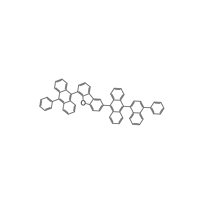 c1ccc(-c2ccc(-c3c4ccccc4c(-c4ccc5oc6c(-c7c8ccccc8c(-c8ccccc8)c8ccccc78)cccc6c5c4)c4ccccc34)c3ccccc23)cc1